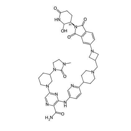 CN1CCN(C2CCCN(c3cnc(C(N)=O)c(Nc4ccc(C5CCN(CC6CN(c7ccc8c(c7)C(=O)N([C@@H]7CCC(=O)NC7O)C8=O)C6)CC5)nc4)n3)C2)C1=O